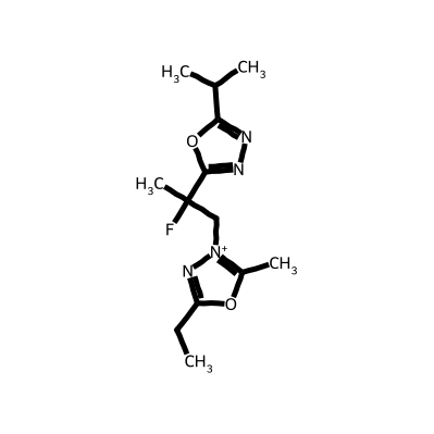 CCc1n[n+](CC(C)(F)c2nnc(C(C)C)o2)c(C)o1